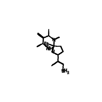 BCC(C)C1CCC(CC)(N(C)C(C)C(=C)C(C)N)C1